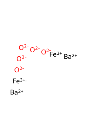 [Ba+2].[Ba+2].[Fe+3].[Fe+3].[O-2].[O-2].[O-2].[O-2].[O-2]